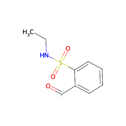 CCNS(=O)(=O)c1ccccc1[C]=O